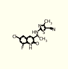 Cc1nc(N[C@@H](C)c2cc3cc(Cl)cc(F)c3[nH]c2=O)sc1C#N